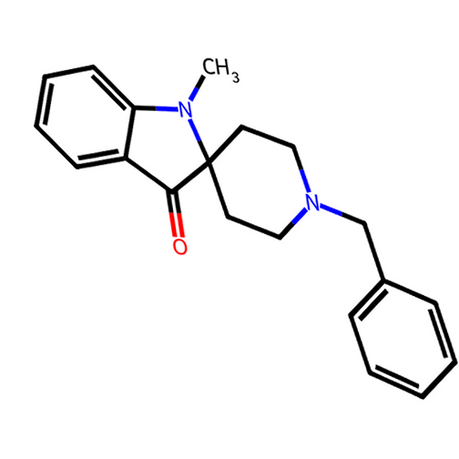 CN1c2ccccc2C(=O)C12CCN(Cc1ccccc1)CC2